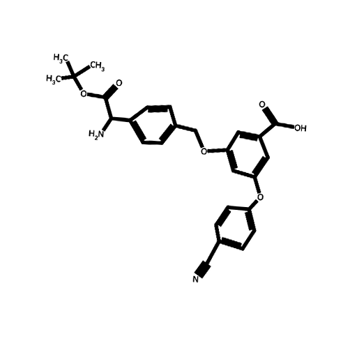 CC(C)(C)OC(=O)C(N)c1ccc(COc2cc(Oc3ccc(C#N)cc3)cc(C(=O)O)c2)cc1